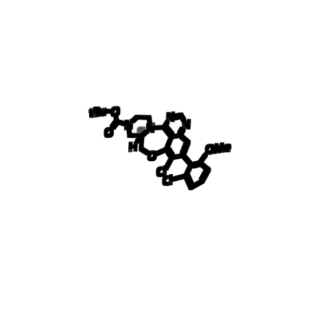 COc1cccc(Cl)c1-c1cc2ncnc3c2c(c1Cl)OC[C@@H]1CN(C(=O)OC(C)(C)C)CCN31